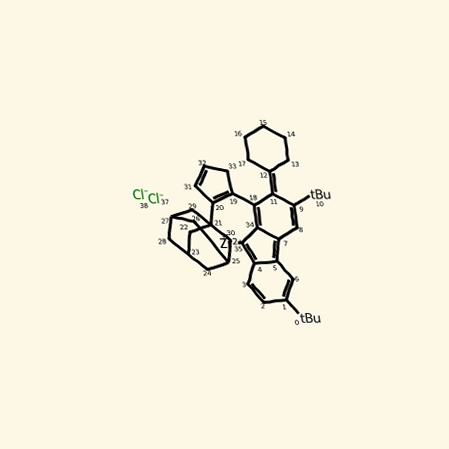 CC(C)(C)c1ccc2c(c1)=c1cc(C(C)(C)C)c(=C3CCCCC3)c(C3=C(C45CC6CC(CC(C6)C4)C5)C=CC3)c1[C]=2[Zr+2].[Cl-].[Cl-]